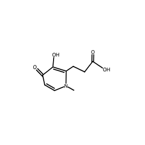 Cn1ccc(=O)c(O)c1CCC(=O)O